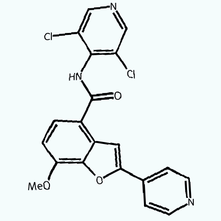 COc1ccc(C(=O)Nc2c(Cl)cncc2Cl)c2cc(-c3ccncc3)oc12